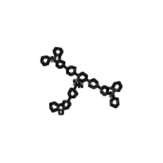 c1ccc(-n2c3ccccc3c3cc(-c4ccc(-c5ccc(-c6ccc(-c7ccc8c(c7)c7ccccc7n8-c7ccccc7)cc6)c6sc(-c7ccc(-c8ccc9oc%10ccccc%10c9c8)cc7)nc56)cc4)ccc32)cc1